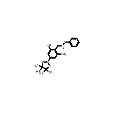 Cc1cc(B2OC(C)(C)C(C)(C)O2)cc(C)c1CNSc1ccccc1